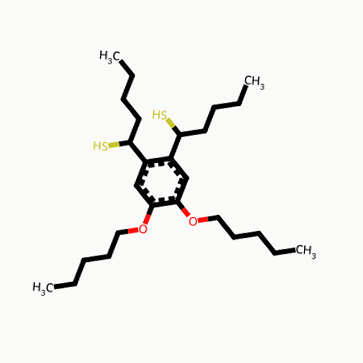 CCCCCOc1cc(C(S)CCCC)c(C(S)CCCC)cc1OCCCCC